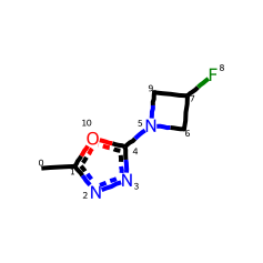 Cc1nnc(N2CC(F)C2)o1